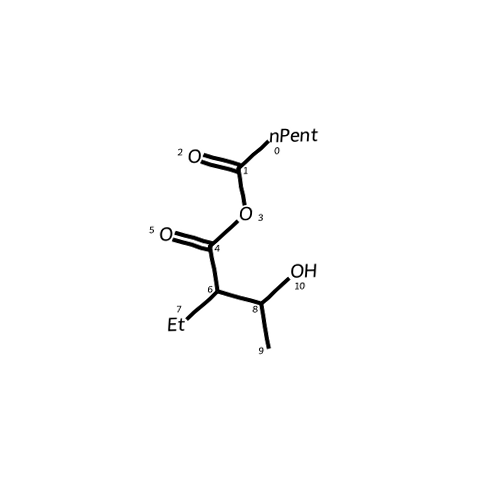 CCCCCC(=O)OC(=O)C(CC)C(C)O